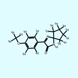 [2H]c1c([2H])c(C2=NC3(N([2H])C2=O)C([2H])([2H])C([2H])([2H])C([2H])([2H])C3([2H])[2H])c([2H])c([2H])c1OC([2H])([2H])[2H]